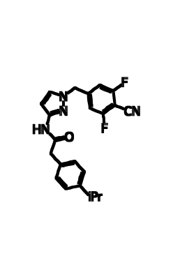 CC(C)c1ccc(CC(=O)Nc2ccn(Cc3cc(F)c(C#N)c(F)c3)n2)cc1